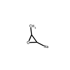 CC1O[CH]1[Na]